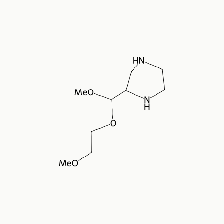 COCCOC(OC)C1CNCCN1